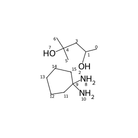 CC(O)CC(C)(C)O.NC1(N)CCCCC1